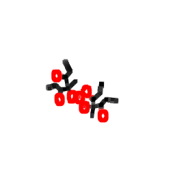 C=CC(=O)C(C)(OOOC(C)(C(=O)C=C)C(=O)C=C)C(=O)C=C